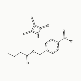 CCCC(=O)OCc1ccc([N+](=O)[O-])cc1.O=c1[nH]c(=O)c1=O